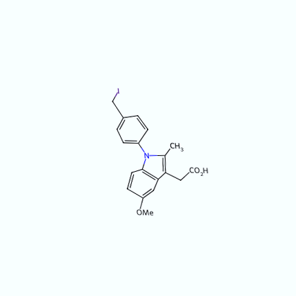 COc1ccc2c(c1)c(CC(=O)O)c(C)n2-c1ccc(CI)cc1